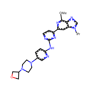 COc1nc(-c2ccnc(Nc3ccc(N4CCN(C5COC5)CC4)cn3)n2)cc2c1ncn2C(C)C